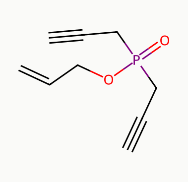 C#CCP(=O)(CC#C)OCC=C